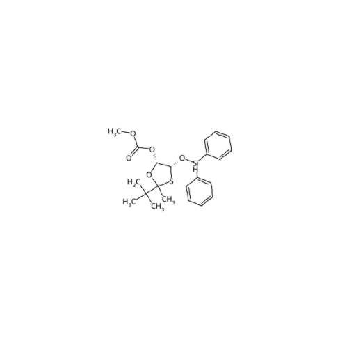 COC(=O)O[C@H]1OC(C)(C(C)(C)C)S[C@H]1O[SiH](c1ccccc1)c1ccccc1